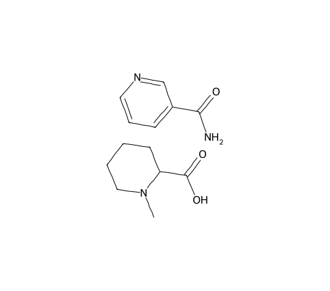 CN1CCCCC1C(=O)O.NC(=O)c1cccnc1